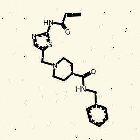 C=CC(=O)Nc1ncc(CN2CCC(C(=O)NCc3ccccc3)CC2)s1